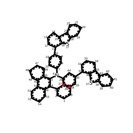 c1ccc(-c2c(N(c3ccc(-c4cccc5c4sc4ccccc45)cc3)c3cccc(-c4cccc5c4sc4ccccc45)c3)c3ccccc3c3ccccc23)cc1